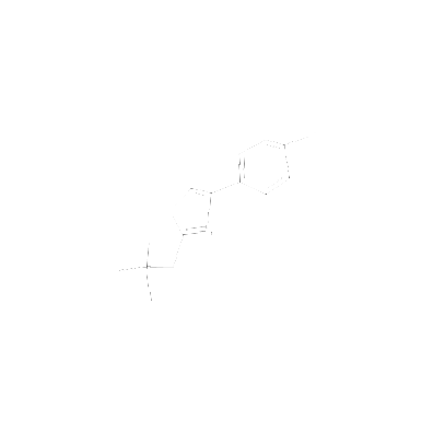 CC(C)(C)Cc1nc(-c2ccc(Cl)cc2)cs1